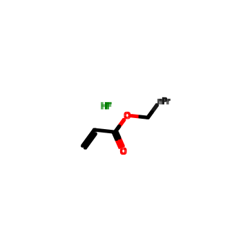 C=CC(=O)OCCCC.F